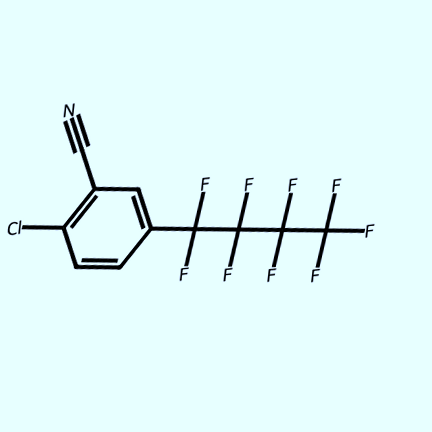 N#Cc1cc(C(F)(F)C(F)(F)C(F)(F)C(F)(F)F)ccc1Cl